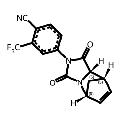 N#Cc1ccc(N2C(=O)[C@@H]3[C@@H]4C=C[C@@H](C4)N3C2=O)cc1C(F)(F)F